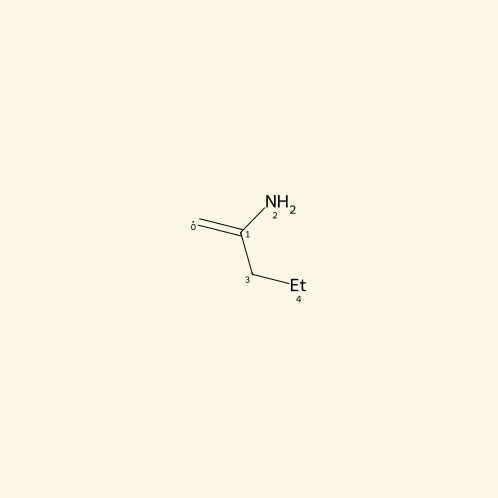 [CH]=C(N)CCC